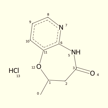 CC1CC(=O)Nc2ncccc2O1.Cl